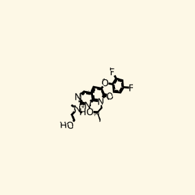 C[C@@H](O)Cn1c(=O)c(Oc2ccc(F)cc2F)cc2cnc([N+](C)(C)CCO)nc21